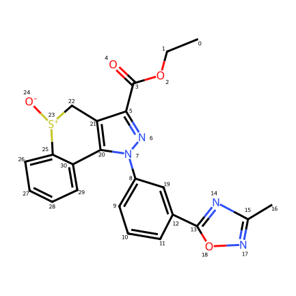 CCOC(=O)c1nn(-c2cccc(-c3nc(C)no3)c2)c2c1C[S+]([O-])c1ccccc1-2